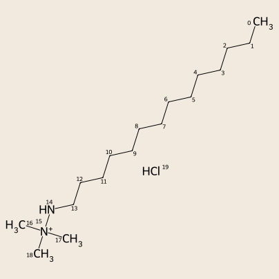 CCCCCCCCCCCCCCN[N+](C)(C)C.Cl